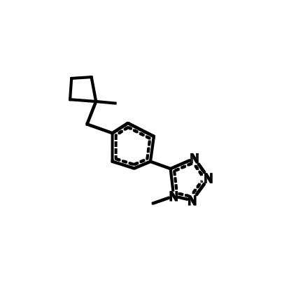 Cn1nnnc1-c1ccc(CC2(C)CCC2)cc1